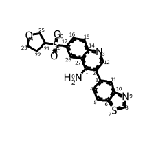 Nc1c(-c2ccc3scnc3c2)cnc2ccc(S(=O)(=O)C3CCOC3)cc12